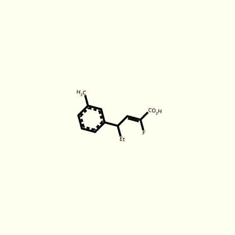 CCC(C=C(F)C(=O)O)c1cccc(C)c1